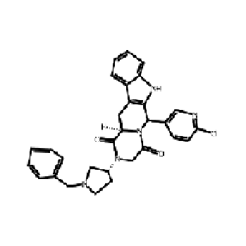 O=C1[C@H]2Cc3c([nH]c4ccccc34)[C@@H](c3ccc(Cl)nc3)N2C(=O)CN1[C@@H]1CCN(Cc2ccccc2)C1